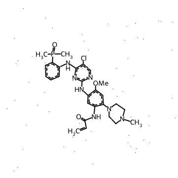 C=CC(=O)Nc1cc(Nc2ncc(Cl)c(Nc3ccccc3P(C)(C)=O)n2)c(OC)cc1N1CCN(C)CC1